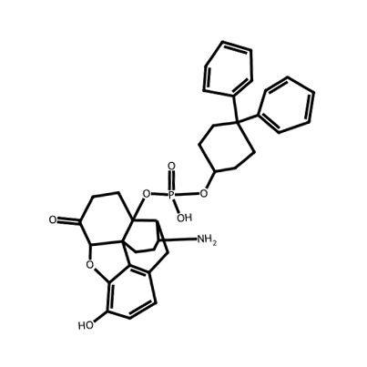 NC1CCC23c4c5ccc(O)c4OC2C(=O)CCC3(OP(=O)(O)OC2CCC(c3ccccc3)(c3ccccc3)CC2)C1C5